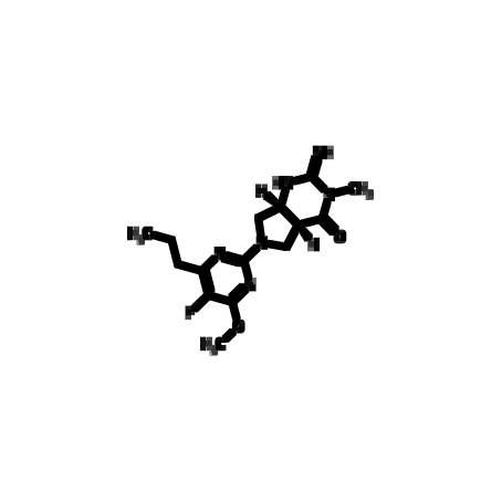 CCCc1nc(N2C[C@@H]3NC(=N)N(C)C(=O)[C@@H]3C2)nc(OC)c1F